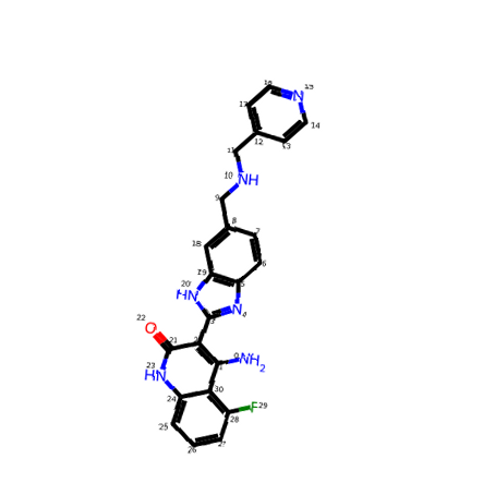 Nc1c(-c2nc3ccc(CNCc4ccncc4)cc3[nH]2)c(=O)[nH]c2cccc(F)c12